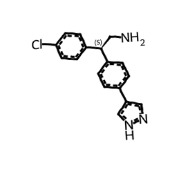 NC[C@H](c1ccc(Cl)cc1)c1ccc(-c2cn[nH]c2)cc1